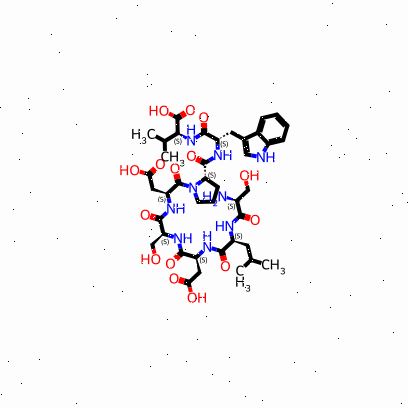 CC(C)C[C@H](NC(=O)[C@@H](N)CO)C(=O)N[C@@H](CC(=O)O)C(=O)N[C@@H](CO)C(=O)N[C@@H](CC(=O)O)C(=O)N1CCC[C@H]1C(=O)N[C@@H](Cc1c[nH]c2ccccc12)C(=O)N[C@H](C(=O)O)C(C)C